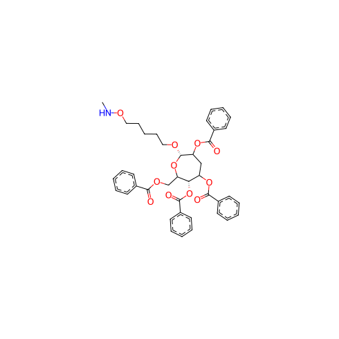 CNOCCCCCO[C@H]1OC(COC(=O)c2ccccc2)[C@@H](OC(=O)c2ccccc2)C(OC(=O)c2ccccc2)CC1OC(=O)c1ccccc1